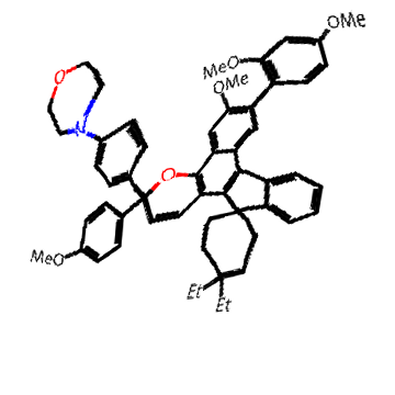 CCC1(CC)CCC2(CC1)c1ccccc1-c1c2c2c(c3cc(OC)c(-c4ccc(OC)cc4OC)cc13)OC(c1ccc(OC)cc1)(c1ccc(N3CCOCC3)cc1)C=C2